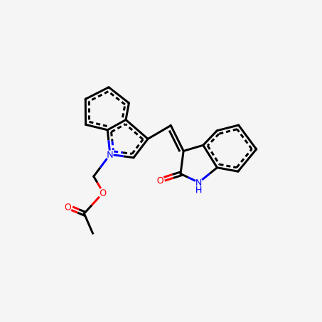 CC(=O)OCn1cc(C=C2C(=O)Nc3ccccc32)c2ccccc21